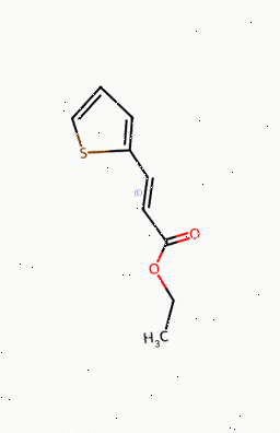 CCOC(=O)/C=C/c1cccs1